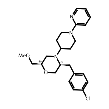 COC[C@H]1CN(C2CCN(c3ccccn3)CC2)[C@@H](Cc2ccc(Cl)cc2)CO1